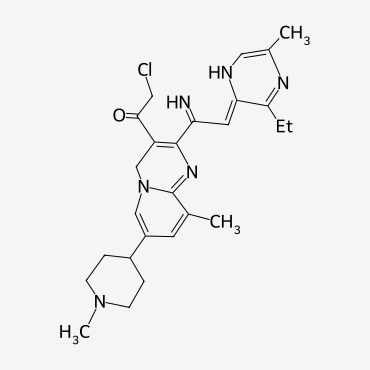 CCC1=NC(C)=CN/C1=C\C(=N)C1=C(C(=O)CCl)CN2C=C(C3CCN(C)CC3)C=C(C)C2=N1